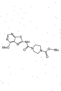 COc1ncnc2sc(NC(=O)N3CCN(C(=O)OC(C)(C)C)CC3)nc12